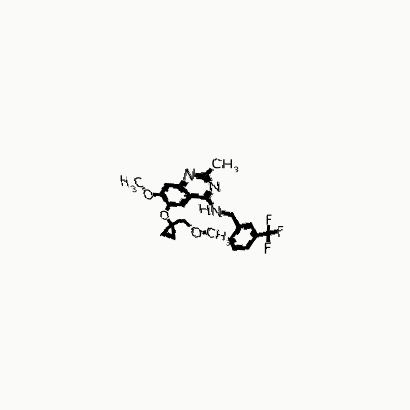 COCC1(Oc2cc3c(NCc4cccc(C(F)(F)F)c4)nc(C)nc3cc2OC)CC1